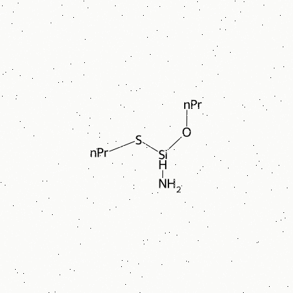 CCCO[SiH](N)SCCC